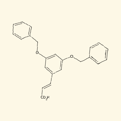 O=C(O)C=Cc1cc(OCc2ccccc2)cc(OCc2ccccc2)c1